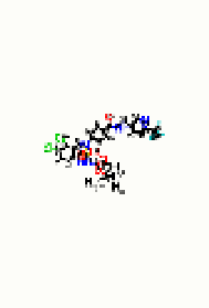 CC(C)(C)OC(=O)NS(=O)(=O)N(Cc1cccc(Cl)c1Cl)c1ccc(C(=O)NCc2ccc(C(F)(F)F)nc2)cc1